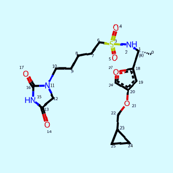 C[C@@H](NS(=O)(=O)CCCCCN1CC(=O)NC1=O)c1cc(OCC2CC2)co1